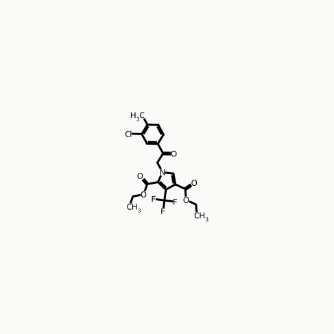 CCOC(=O)c1cn(CC(=O)c2ccc(C)c(Cl)c2)c(C(=O)OCC)c1C(F)(F)F